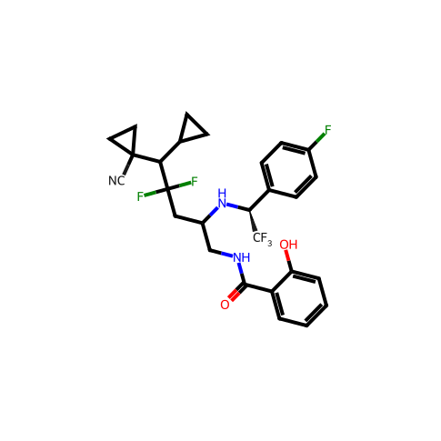 N#CC1(C(C2CC2)C(F)(F)CC(CNC(=O)c2ccccc2O)N[C@@H](c2ccc(F)cc2)C(F)(F)F)CC1